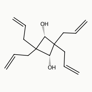 C=CCC1(CC=C)[C@H](O)C(CC=C)(CC=C)[C@@H]1O